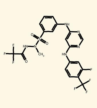 CN(NC(=O)C(F)(F)F)S(=O)(=O)c1cccc(Nc2cc(Nc3ccc(C(F)(F)F)c(F)c3)ncn2)c1